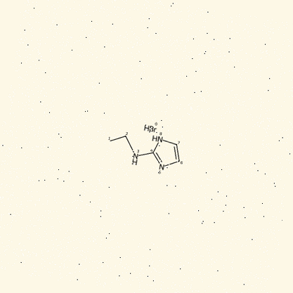 Br.CCNc1ncc[nH]1